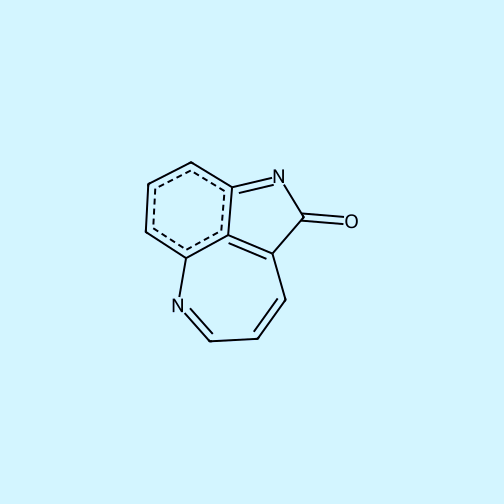 O=C1N=c2cccc3c2=C1C=CC=N3